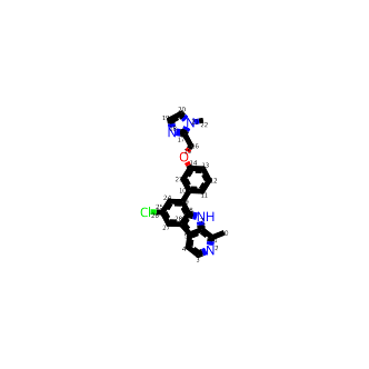 Cc1nccc2c1[nH]c1c(-c3cccc(OCc4nccn4C)c3)cc(Cl)cc12